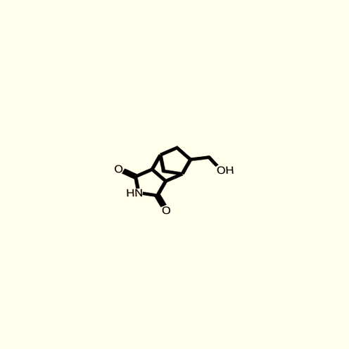 O=C1NC(=O)C2C3CC(CC3CO)C12